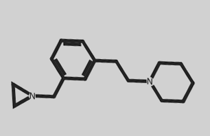 c1cc(CCN2CCCCC2)cc(CN2CC2)c1